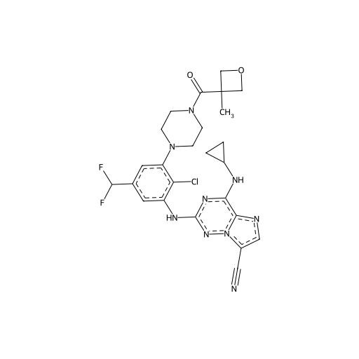 CC1(C(=O)N2CCN(c3cc(C(F)F)cc(Nc4nc(NC5CC5)c5ncc(C#N)n5n4)c3Cl)CC2)COC1